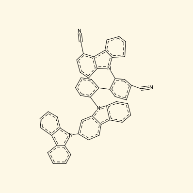 N#Cc1ccc(-c2ccccc2-n2c3ccccc3c3ccc(-n4c5ccccc5c5ccccc54)cc32)c(-n2c3ccccc3c3c(C#N)cccc32)c1